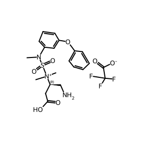 CN(c1cccc(Oc2ccccc2)c1)S(=O)(=O)[N+](C)(C)[C@@H](CN)CC(=O)O.O=C([O-])C(F)(F)F